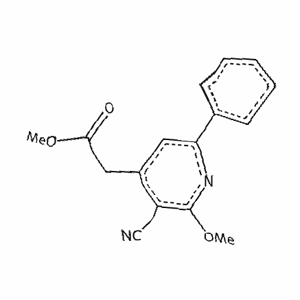 COC(=O)Cc1cc(-c2ccccc2)nc(OC)c1C#N